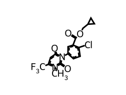 Cn1c(C(F)(F)F)cc(=O)n(-c2ccc(Cl)c(C(=O)OCC3CC3)c2)c1=O